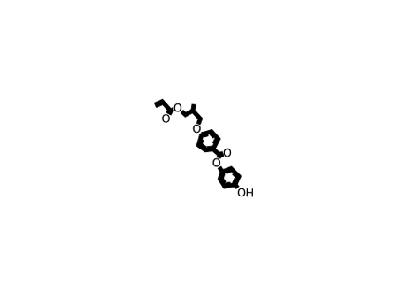 C=CC(=O)OCC(C)COc1ccc(C(=O)Oc2ccc(O)cc2)cc1